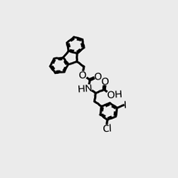 O=C(NC(Cc1cc(Cl)cc(I)c1)C(=O)O)OCC1c2ccccc2-c2ccccc21